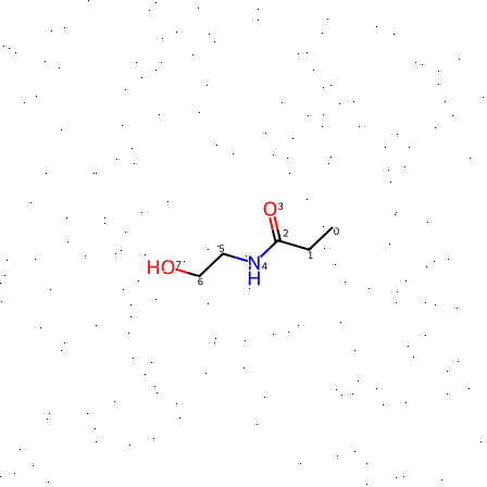 CCC(=O)NCCO